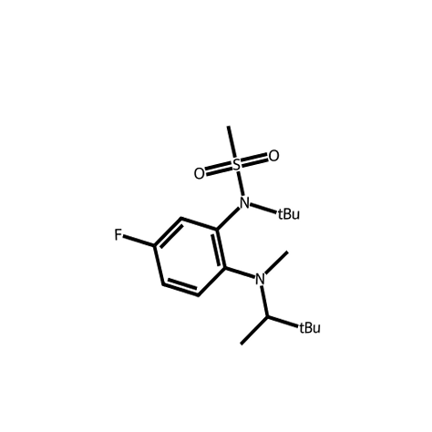 CC(N(C)c1ccc(F)cc1N(C(C)(C)C)S(C)(=O)=O)C(C)(C)C